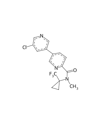 CN(C(=O)c1ccc(-c2cncc(Cl)c2)cn1)C1(C(F)(F)F)CC1